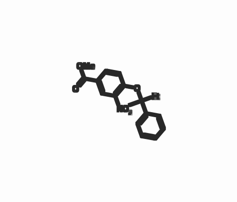 CCC(C)(Oc1ccc(C(=O)OC)cc1[N+](=O)[O-])c1ccccc1